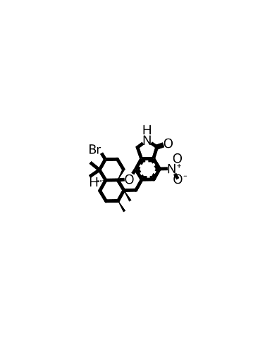 C[C@H]1CC[C@H]2C(C)(C)C(Br)CC[C@]23Oc2c(cc([N+](=O)[O-])c4c2CNC4=O)C[C@]13C